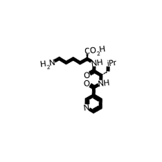 CC(C)C[C@H](NC(=O)c1cccnc1)C(=O)N[C@@H](CCCCN)C(=O)O